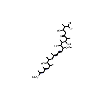 CCOC(=O)/C(C)=C/C(C)=C/C(C)C(O)C(C)C/C(C)=C/C=C/C(OC)C(O)C(C)C(O)C(C)C(=O)CC(O)C(C)C(O)CC